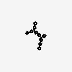 C1=CCC(c2ccc(N(c3ccc(-c4ccccc4)cc3)c3ccc(-c4ccc(N(c5ccccc5)C5C=CC(c6ccc(-c7ccccc7)cc6)=CC5)cc4)cc3)cc2)C=C1